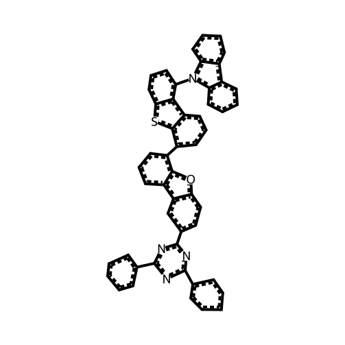 c1ccc(-c2nc(-c3ccccc3)nc(-c3ccc4oc5c(-c6cccc7c6sc6cccc(-n8c9ccccc9c9ccccc98)c67)cccc5c4c3)n2)cc1